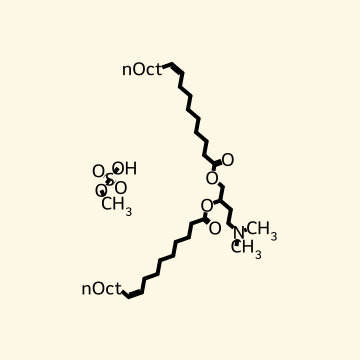 CCCCCCCC/C=C\CCCCCCCC(=O)OCC(CCN(C)C)OC(=O)CCCCCCC/C=C\CCCCCCCC.COS(=O)(=O)O